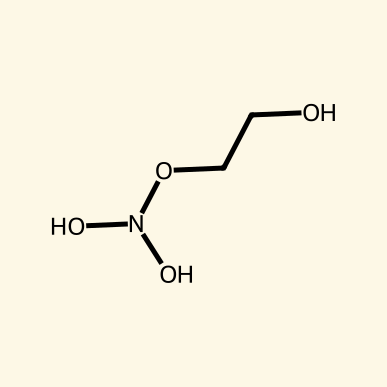 OCCON(O)O